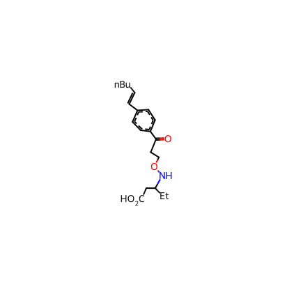 CCCCC=Cc1ccc(C(=O)CCONC(CC)CC(=O)O)cc1